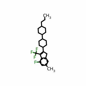 CCCC1CCC(C2CCC(C3=C(C(F)(F)F)c4c(F)cc(C)cc4C3)CC2)CC1